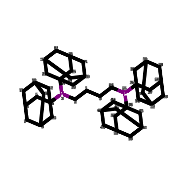 C(CCP(C12CC3CC(CC(C3)C1)C2)C12CC3CC(CC(C3)C1)C2)CP(C12CC3CC(CC(C3)C1)C2)C12CC3CC(CC(C3)C1)C2